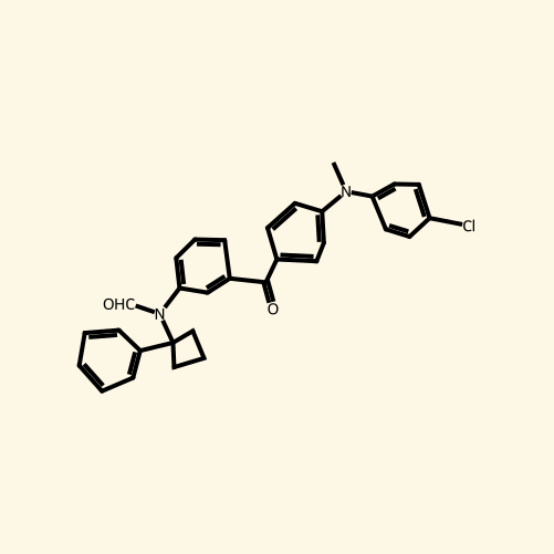 CN(c1ccc(Cl)cc1)c1ccc(C(=O)c2cccc(N(C=O)C3(c4ccccc4)CCC3)c2)cc1